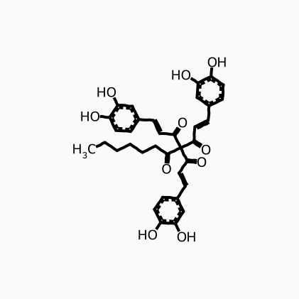 CCCCCCC(=O)C(C(=O)C=Cc1ccc(O)c(O)c1)(C(=O)C=Cc1ccc(O)c(O)c1)C(=O)C=Cc1ccc(O)c(O)c1